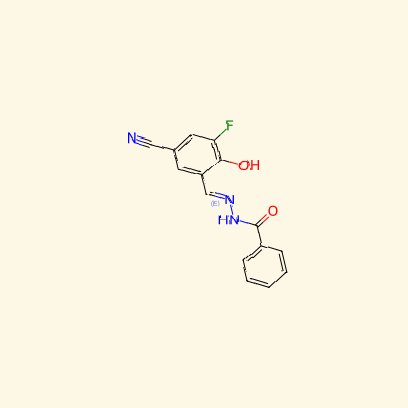 N#Cc1cc(F)c(O)c(/C=N/NC(=O)c2ccccc2)c1